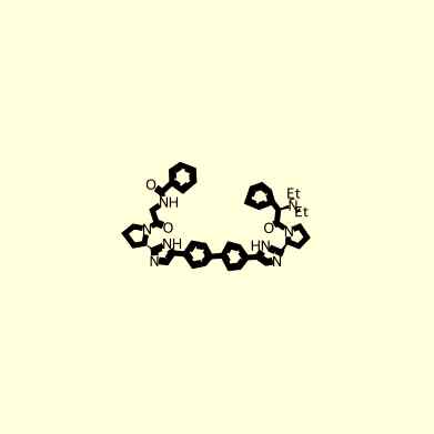 CCN(CC)[C@@H](C(=O)N1CCC[C@H]1c1ncc(-c2ccc(-c3ccc(-c4cnc([C@@H]5CCCN5C(=O)CNC(=O)c5ccccc5)[nH]4)cc3)cc2)[nH]1)c1ccccc1